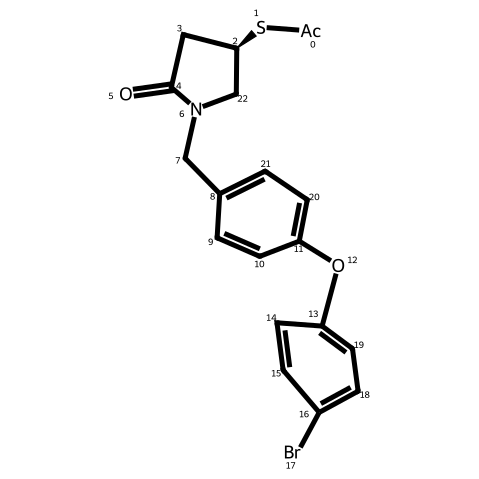 CC(=O)S[C@@H]1CC(=O)N(Cc2ccc(Oc3ccc(Br)cc3)cc2)C1